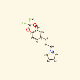 FC1(F)Oc2ccc(CCCN3CCCC3)cc2O1